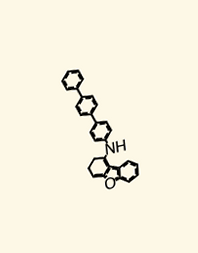 C1=c2oc3ccccc3c2=C(Nc2ccc(-c3ccc(-c4ccccc4)cc3)cc2)CC1